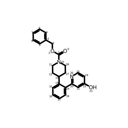 O=C(OCc1ccccc1)N1CCC(c2ccccc2-c2cc(O)ccn2)CC1